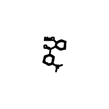 COc1ccccc1C(=O)c1cccc(N(C)C)c1